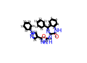 O=C1Nc2ccccc2C(c2ccccc2)=N[C@@H]1Nc1nnc(-c2cnn(-c3ccccc3)c2)o1